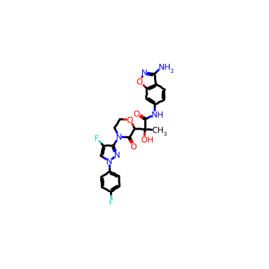 CC(O)(C(=O)Nc1ccc2c(N)noc2c1)C1OCCN(c2nn(-c3ccc(F)cc3)cc2F)C1=O